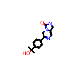 CC(C)(O)c1ccc(C2=NC=C3C=NC(=O)N3C2)cc1